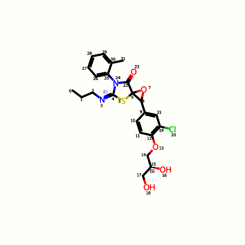 CCC/N=C1/SC2(OC2c2ccc(OC[C@@H](O)CO)c(Cl)c2)C(=O)N1c1ccccc1C